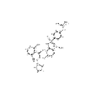 COc1ccc(CN(Cc2ccco2)C(=O)c2c(Cl)cccc2Cl)cc1OS(=O)(=O)c1ccc(CC(N)=O)cc1